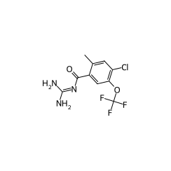 Cc1cc(Cl)c(OC(F)(F)F)cc1C(=O)N=C(N)N